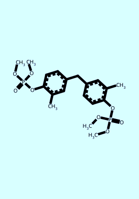 COP(=O)(OC)Oc1ccc(Cc2ccc(OP(=O)(OC)OC)c(C)c2)cc1C